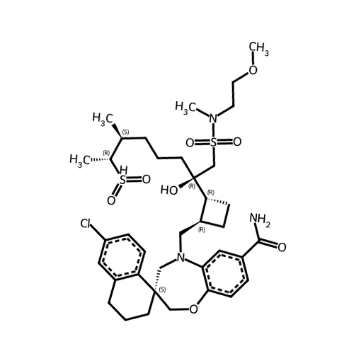 COCCN(C)S(=O)(=O)C[C@@](O)(CCC[C@H](C)[C@@H](C)[SH](=O)=O)[C@@H]1CC[C@H]1CN1C[C@@]2(CCCc3cc(Cl)ccc32)COc2ccc(C(N)=O)cc21